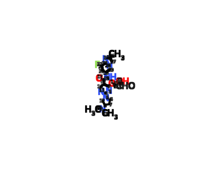 CCOc1nc(N2CCC(N(C)C)C2)ncc1C(=O)Nc1cc(F)c2nc(C)cn2c1.O=CO